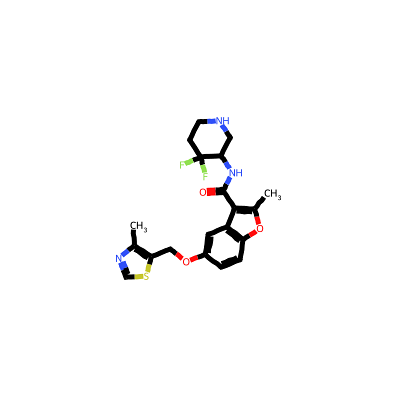 Cc1ncsc1COc1ccc2oc(C)c(C(=O)NC3CNCCC3(F)F)c2c1